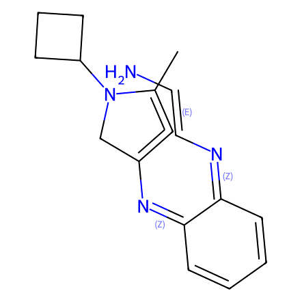 CC1=C=C(/N=C2/C=CC=C/C2=N/C=C/N)CN1C1CCC1